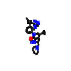 CC1CC(c2cccc(-n3cc(C4CC4)c4cc(CN5CCCCC5)[nH]c4c3=O)c2)(c2nncn2C)C1